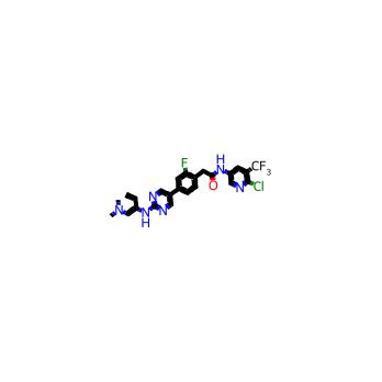 C=C/C(=C\N(C)C)Nc1ncc(-c2ccc(CC(=O)Nc3cnc(Cl)c(C(F)(F)F)c3)c(F)c2)cn1